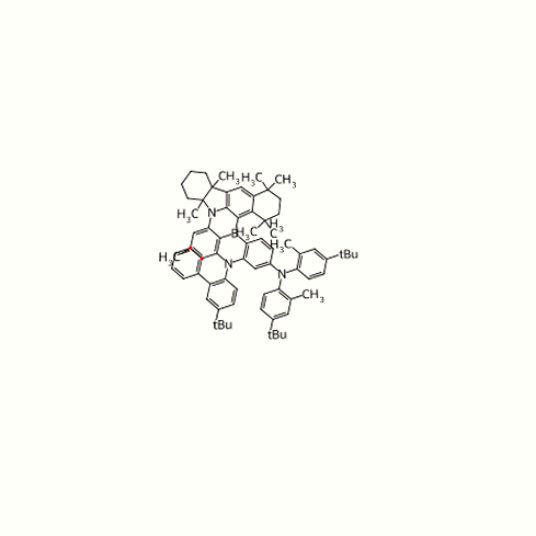 Cc1cc2c3c(c1)N1c4c(cc5c(c4B3c3ccc(N(c4ccc(C(C)(C)C)cc4C)c4ccc(C(C)(C)C)cc4C)cc3N2c2ccc(C(C)(C)C)cc2-c2ccccc2)C(C)(C)CCC5(C)C)C2(C)CCCCC12C